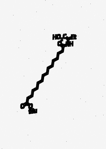 CCC(NC(=O)CCCCCCCCCCCCCCC(=O)OC(C)(C)C)C(=O)O